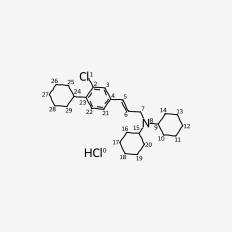 Cl.Clc1cc(/C=C/CN(C2CCCCC2)C2CCCCC2)ccc1C1CCCCC1